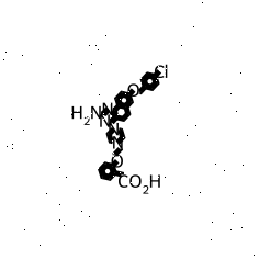 Nc1nc2c(c(N3CCN(CCOc4ccccc4CC(=O)O)CC3)n1)CCc1cc(OCc3ccc(Cl)cc3)ccc1-2